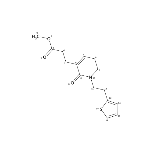 COC(=O)CCC1=CCCN(CCc2cccs2)C1=O